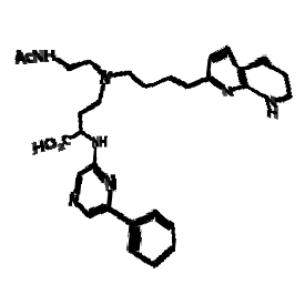 CC(=O)NCCN(CCCCc1ccc2c(n1)NCCC2)CCC(Nc1cncc(-c2ccccc2)n1)C(=O)O